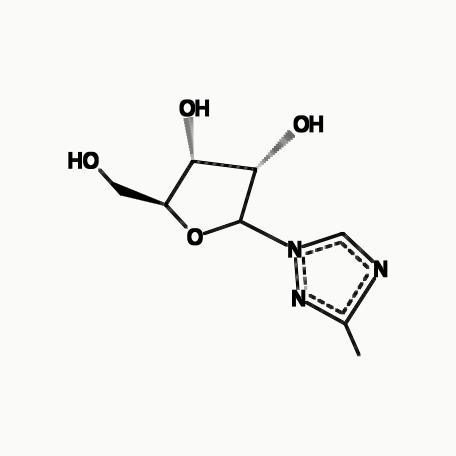 Cc1ncn(C2O[C@@H](CO)[C@H](O)[C@@H]2O)n1